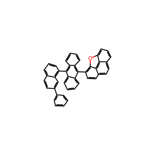 c1ccc(-c2ccc3cccc(-c4c5ccccc5c(-c5ccc6ccc7cccc8oc5c6c78)c5ccccc45)c3c2)cc1